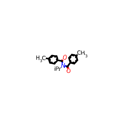 Cc1ccc(C(=O)N(C(=O)c2ccc(C)cc2)C(C)C)cc1